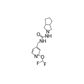 O=C(NCc1ccnc(OC(F)F)c1)NN1CC2CCCC2C1